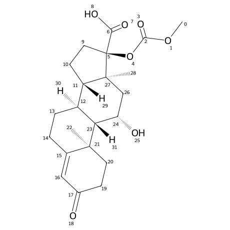 COC(=O)O[C@]1(C(=O)O)CC[C@H]2[C@@H]3CCC4=CC(=O)CC[C@]4(C)[C@H]3[C@@H](O)C[C@@]21C